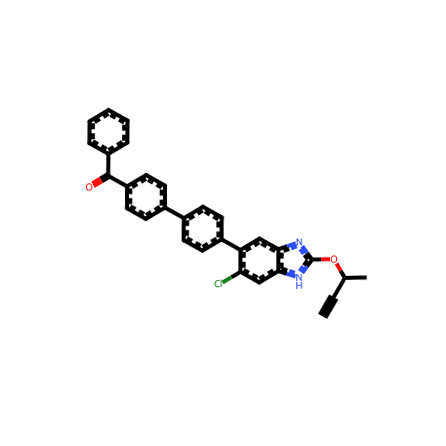 C#CC(C)Oc1nc2cc(-c3ccc(-c4ccc(C(=O)c5ccccc5)cc4)cc3)c(Cl)cc2[nH]1